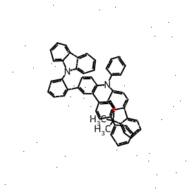 CC1(C)c2ccccc2-c2ccc(N(c3ccccc3)c3ccc(-c4ccccc4-n4c5ccccc5c5ccccc54)cc3-c3ccc(-c4ccccc4)cc3)cc21